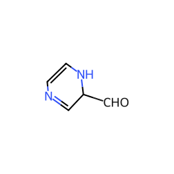 O=CC1C=NC=CN1